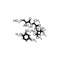 C[C@@H](NC(=O)[C@@H](N)CC(=O)O)C(=O)NC1C(C)(C)SC1(C)C.Cc1ccc(C)c(S(=O)(=O)O)c1